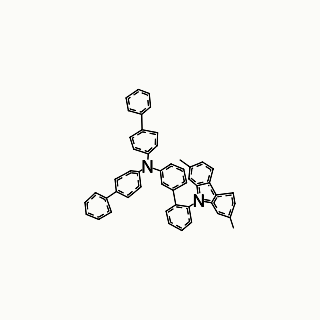 Cc1ccc2c3ccc(C)cc3n(-c3ccccc3-c3cccc(N(c4ccc(-c5ccccc5)cc4)c4ccc(-c5ccccc5)cc4)c3)c2c1